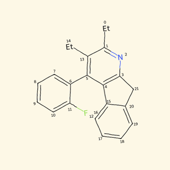 CCc1nc2c(c(-c3ccccc3F)c1CC)-c1ccccc1C2